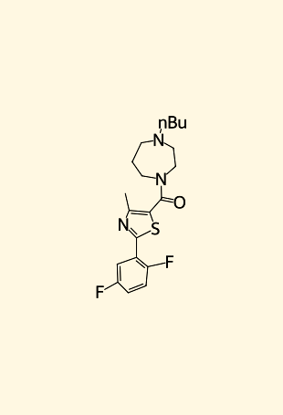 CCCCN1CCCN(C(=O)c2sc(-c3cc(F)ccc3F)nc2C)CC1